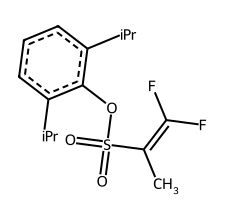 CC(=C(F)F)S(=O)(=O)Oc1c(C(C)C)cccc1C(C)C